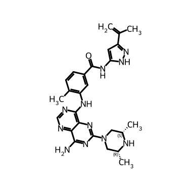 C=C(C)c1cc(NC(=O)c2ccc(C)c(Nc3ncnc4c(N)nc(N5C[C@@H](C)N[C@@H](C)C5)nc34)c2)[nH]n1